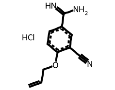 C=CCOc1ccc(C(=N)N)cc1C#N.Cl